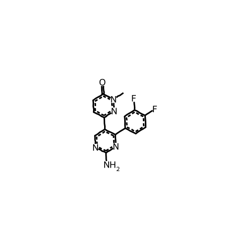 Cn1nc(-c2cnc(N)nc2-c2ccc(F)c(F)c2)ccc1=O